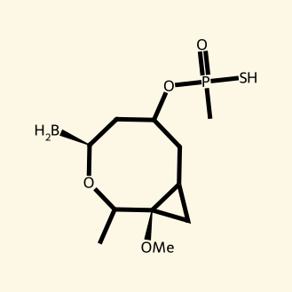 B[C@H]1CC(OP(C)(=O)S)CC2C[C@]2(OC)C(C)O1